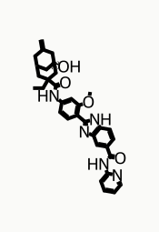 C=C1CC2CC(CC)(C(=O)Nc3ccc(-c4nc5cc(C(=O)Nc6ccccn6)ccc5[nH]4)c(OC)c3)C[C@](O)(C1)C2